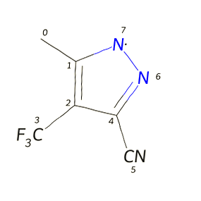 CC1=C(C(F)(F)F)C(C#N)=N[N]1